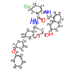 O=C(O)CC(NC(=O)c1cc(Cl)ccc1NCc1cccc2ccccc12)c1ccc(-c2ccc(Oc3ccccc3)cc2)cc1